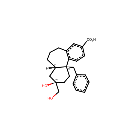 O=C(O)c1ccc2c(c1)CCC[C@H]1C[C@@](O)(CO)CC[C@@]21Cc1ccccc1